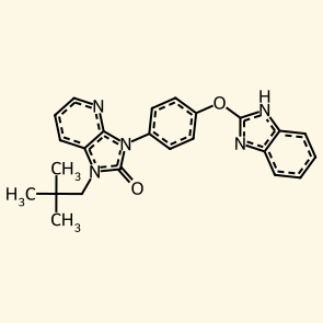 CC(C)(C)Cn1c(=O)n(-c2ccc(Oc3nc4ccccc4[nH]3)cc2)c2ncccc21